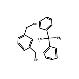 NC(N)(c1ccccc1)c1ccccc1.NCc1cccc(CN)c1